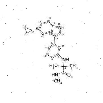 CNC(=O)C(C)(C)Nc1cncc(-c2c[nH]c3ncc(C4CC4)cc23)n1